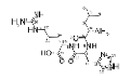 CC(C)C[C@H](N)C(=O)N[C@@H](Cc1c[nH]cn1)C(=O)N[C@@H](CCCNC(=N)N)C(=O)O